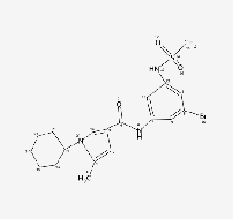 Cc1cc(C(=O)Nc2cc(Br)cc(NS(C)(=O)=O)c2)cn1C1CCCCC1